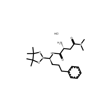 CN(C)C(=O)C[C@@H](N)C(=O)N[C@@H](CCCc1ccccc1)B1OC(C)(C)C(C)(C)O1.Cl